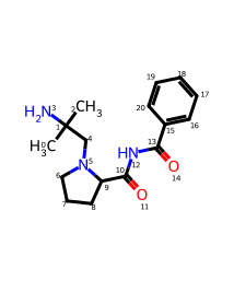 CC(C)(N)CN1CCCC1C(=O)NC(=O)c1ccccc1